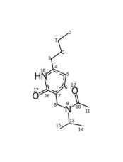 CCCCc1ccc(CN(C(C)=O)C(C)C)c(=O)[nH]1